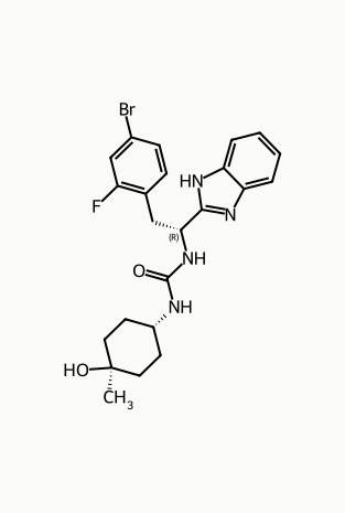 C[C@]1(O)CC[C@H](NC(=O)N[C@H](Cc2ccc(Br)cc2F)c2nc3ccccc3[nH]2)CC1